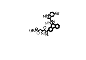 CC(C)(C)OC(=O)C[C@H](N)C(=O)Nc1ccc2c3ccccc3c3nc(C4=CNC5CC=C(Br)C=C45)[nH]c3c2c1